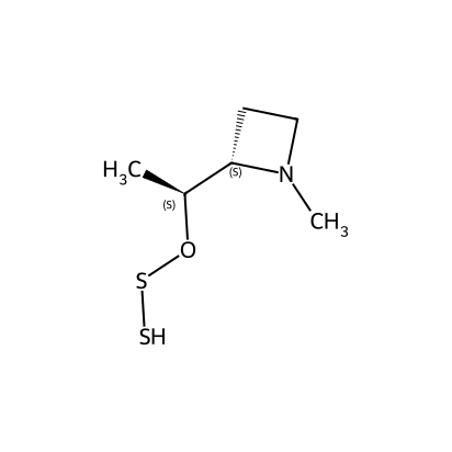 C[C@H](OSS)[C@@H]1CCN1C